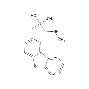 CNCC(C)(O)Cc1ccc2sc3ccccc3c2c1